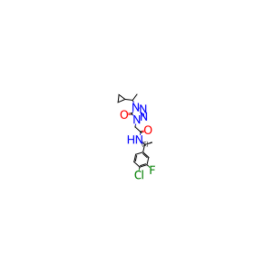 CC(C1CC1)n1nnn(CC(=O)N[C@@H](C)c2ccc(Cl)c(F)c2)c1=O